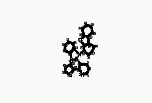 c1cnc2c(c1)B1N(c3ccccc3N1c1cccc3c1oc1ccccc13)c1ccsc1-2